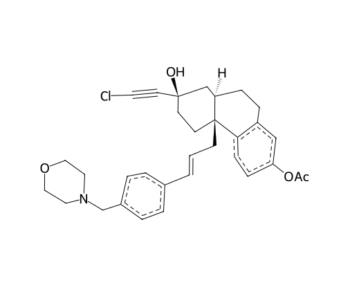 CC(=O)Oc1ccc2c(c1)CC[C@@H]1C[C@@](O)(C#CCl)CC[C@@]21C/C=C/c1ccc(CN2CCOCC2)cc1